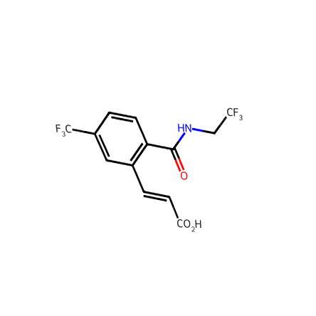 O=C(O)/C=C/c1cc(C(F)(F)F)ccc1C(=O)NCC(F)(F)F